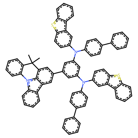 CC1(C)c2ccccc2-n2c3ccccc3c3cc(-c4cc(N(c5ccc(-c6ccccc6)cc5)c5ccc6sc7ccccc7c6c5)cc(N(c5ccc(-c6ccccc6)cc5)c5ccc6sc7ccccc7c6c5)c4)cc1c32